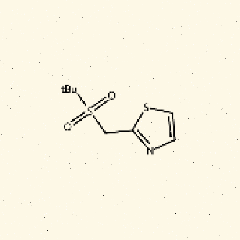 CC(C)(C)S(=O)(=O)Cc1n[c]cs1